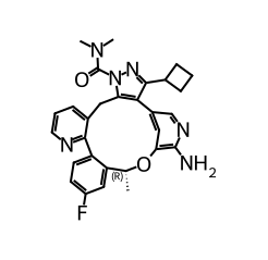 C[C@H]1Oc2cc(cnc2N)-c2c(C3CCC3)nn(C(=O)N(C)C)c2Cc2cccnc2-c2ccc(F)cc21